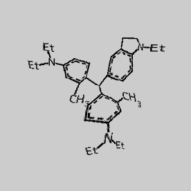 CCN(CC)c1ccc(C(c2ccc3c(c2)CCN3CC)c2ccc(N(CC)CC)cc2C)c(C)c1